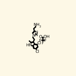 Cc1[nH]c2cc(Cl)cc(Cl)c2c1CCn1cc(CCN)nn1.O=C(O)C(F)(F)F